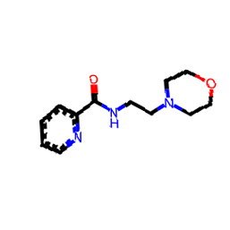 O=C(NCCN1CCOCC1)c1ccccn1